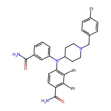 CCc1ccc(CN2CCC(N(c3cccc(C(N)=O)c3)c3ccc(C(N)=O)c(C(C)C)c3C(C)C)CC2)cc1